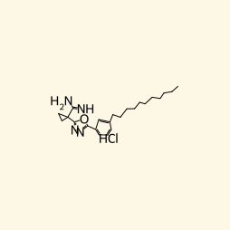 CCCCCCCCCCCc1cccc(-c2nnc(C3(C(=N)N)CC3)o2)c1.Cl